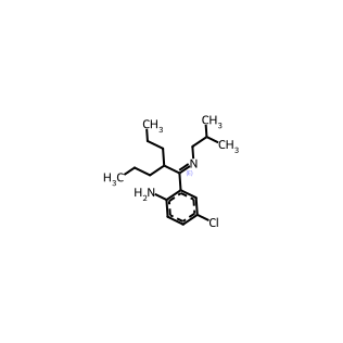 CCCC(CCC)/C(=N\CC(C)C)c1cc(Cl)ccc1N